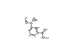 COC(=O)c1cccc(C(O)OC)n1